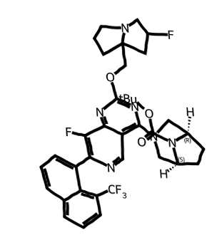 CC(C)(C)OC(=O)N1[C@@H]2CC[C@H]1CN(c1nc(OCC34CCCN3CC(F)C4)nc3c(F)c(-c4cccc5cccc(C(F)(F)F)c45)ncc13)C2